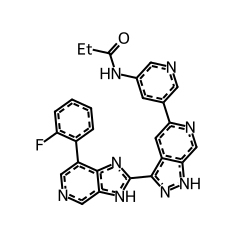 CCC(=O)Nc1cncc(-c2cc3c(-c4nc5c(-c6ccccc6F)cncc5[nH]4)n[nH]c3cn2)c1